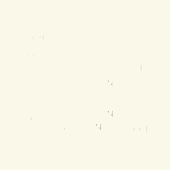 COc1ccc(-c2c(C)nn3c(O)cc(C)nc23)c(OC)c1